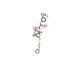 Cc1cccc(C[C@H](O)/C=C/[C@@H]2[C@H]3CC(CSCCCN4CCCC4)=C[C@H]3C[C@H]2O)c1